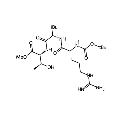 CC[C@H](C)[C@H](NC(=O)[C@@H](CCCNC(=N)N)NC(=O)OC(C)(C)C)C(=O)N[C@H](C(=O)OC)[C@H](C)O